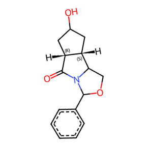 O=C1[C@@H]2CC(O)C[C@@H]2C2COC(c3ccccc3)N12